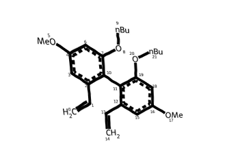 C=Cc1cc(OC)cc(OCCCC)c1-c1c(C=C)cc(OC)cc1OCCCC